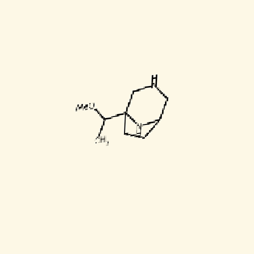 COC(C)C12CCC(CNC1)N2